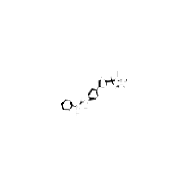 CC(C)(c1ncc(-c2ccc(NC(=O)Nc3ccccc3F)cc2)s1)N(F)S(C)(=O)=O